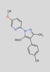 COc1c(-c2ccc(C#N)cc2)c(C)nn1-c1ccc(OC#N)cn1